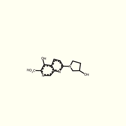 O=C(O)c1ncc2nc(N3CCC(O)C3)ccc2c1O